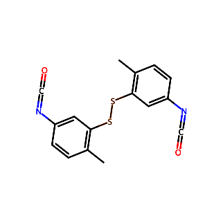 Cc1ccc(N=C=O)cc1SSc1cc(N=C=O)ccc1C